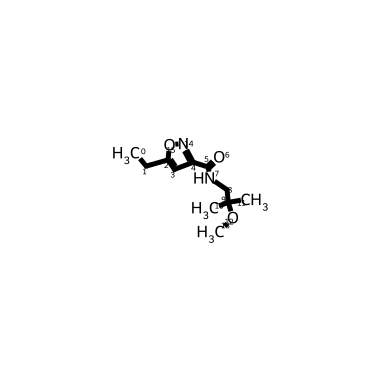 CCc1cc(C(=O)NCC(C)(C)OC)no1